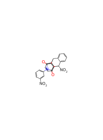 O=C1C2=C(C(=O)N1c1cccc([N+](=O)[O-])c1)C1([N+](=O)[O-])c3ccccc3C2c2ccccc21